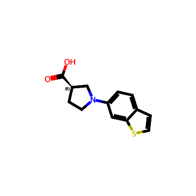 O=C(O)[C@@H]1CCN(c2ccc3ccsc3c2)C1